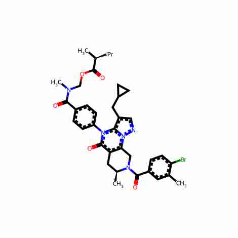 Cc1cc(C(=O)N2Cc3c(c(=O)n(-c4ccc(C(=O)N(C)COC(=O)[C@@H](C)C(C)C)cc4)c4c(CC5CC5)cnn34)C[C@@H]2C)ccc1Br